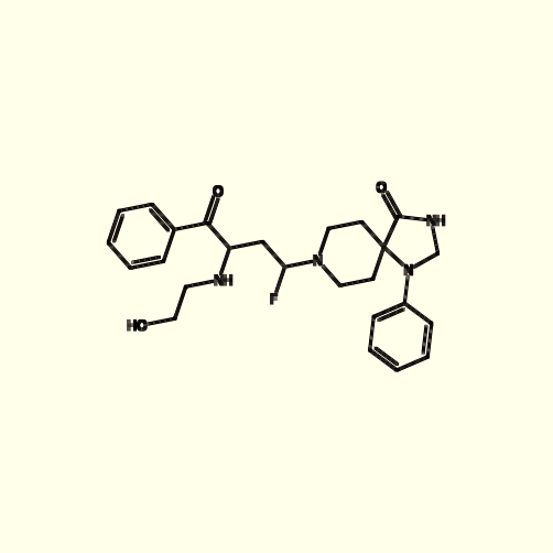 O=C(c1ccccc1)C(CC(F)N1CCC2(CC1)C(=O)NCN2c1ccccc1)NCCO